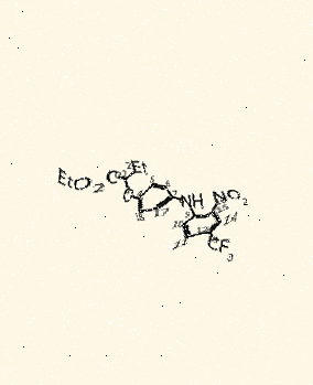 CCOC(=O)C(CC)Oc1ccc(Nc2ccc(C(F)(F)F)cc2[N+](=O)[O-])cc1